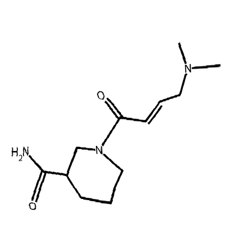 CN(C)CC=CC(=O)N1CCCC(C(N)=O)C1